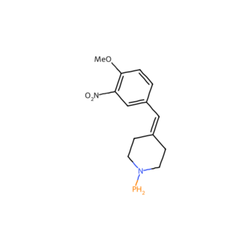 COc1ccc(C=C2CCN(P)CC2)cc1[N+](=O)[O-]